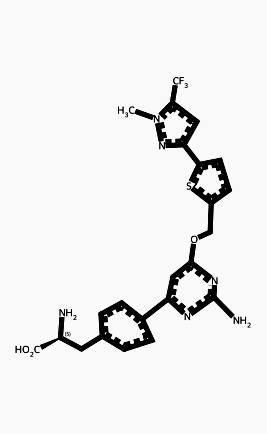 Cn1nc(-c2ccc(COc3cc(-c4ccc(C[C@H](N)C(=O)O)cc4)nc(N)n3)s2)cc1C(F)(F)F